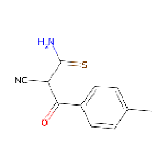 Cc1ccc(C(=O)C(C#N)C(N)=S)cc1